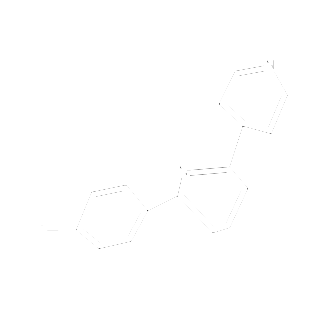 Cc1ccc(-c2cccc(-c3ccncc3)n2)cc1